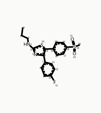 CCCNc1nc(-c2ccc(F)cc2)c(-c2ccc(S(C)(=O)=O)cc2)s1